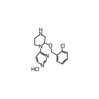 Cl.Clc1ccccc1COC1CNCCN1c1ccncn1